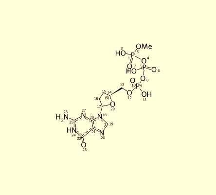 COP(=O)(O)OP(=O)(O)OP(=O)(O)OC[C@@H]1CCC(n2cnc3c(=O)[nH]c(N)nc32)O1